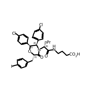 CCC[C@H](C(=O)NCCCC(=O)O)N1C(=O)[C@H](Cc2ccc(I)cc2)O[C@@H](c2ccc(Cl)cc2)[C@H]1c1ccc(Cl)cc1